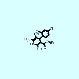 CC1=C(C#N)C(c2ccc(Cl)cc2Cl)C(C(=O)OC(C)C)=C(C)N1